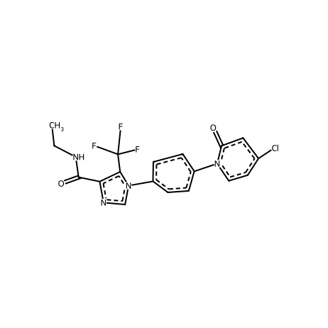 CCNC(=O)c1ncn(-c2ccc(-n3ccc(Cl)cc3=O)cc2)c1C(F)(F)F